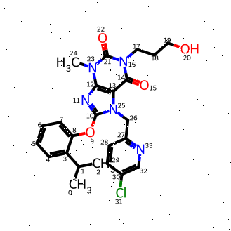 CC(C)c1ccccc1Oc1nc2c(c(=O)n(CCCO)c(=O)n2C)n1Cc1ccc(Cl)cn1